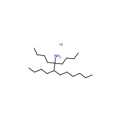 CCCCCCC(CCCC)C(N)(CCCC)CCCC.I